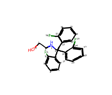 OCCNC(c1ccccc1F)(c1ccccc1F)c1ccccc1F